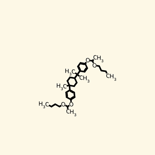 CCCCOC(C)Oc1ccc(C2(C)CCC(C(C)(C)c3ccc(OC(C)OCCCC)cc3)CC2)cc1